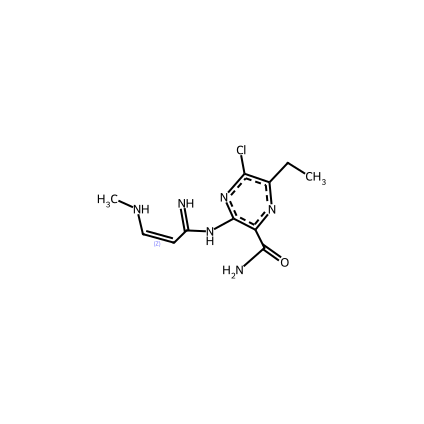 CCc1nc(C(N)=O)c(NC(=N)/C=C\NC)nc1Cl